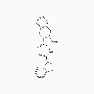 O=C(NN1C(=O)C2Cc3ccccc3CN2C1=O)[C@H]1CCc2ccccc21